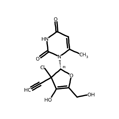 C#CC1(Cl)C(O)=C(CO)O[C@H]1n1c(C)cc(=O)[nH]c1=O